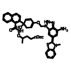 CCCCCCCCCCCCC(C)ONC(=O)c1c(C2(O)C=CC(OCN3NN=c4c(N)cc(=C5Sc6ccccc6N5C)cc43)=CC2)ccc2ccccc12